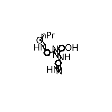 CCCC1OC1CNc1cccc(-c2nc(Nc3ccc4[nH]ncc4c3)c3cc(O)ccc3n2)c1